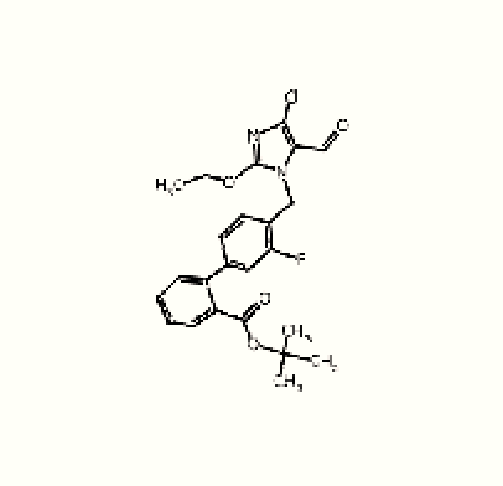 CCOc1nc(Cl)c(C=O)n1Cc1ccc(-c2ccccc2C(=O)OC(C)(C)C)cc1F